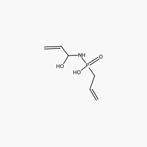 C=CCP(=O)(O)NC(O)C=C